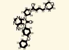 Nc1ncnc2c1n(-c1ccc(Oc3ccccc3)cc1)c(=O)n2[C@@H]1CCN(C(=O)C=CCN2CCOCC2)C1